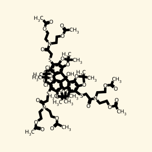 CC(=O)OCCN(CCOC(C)=O)C(=O)CSc1c2c(c(C(O)(c3c4c(c(SCC(=O)N(CCOC(C)=O)CCOC(C)=O)c5c3OC(C)(C)O5)OC(C)(C)O4)c3c4c(c(SCC(=O)N(CCOC(C)=O)CCOC(C)=O)c5c3OC(C)(C)O5)OC(C)(C)O4)c3c1OC(C)(C)O3)OC(C)(C)O2